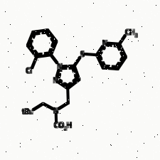 Cc1cccc(Sc2cc(CN(CC(C)(C)C)C(=O)O)nn2-c2ccccc2Cl)n1